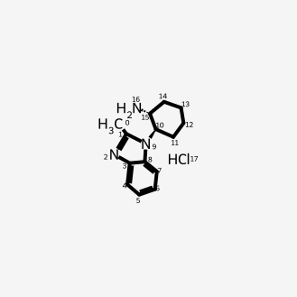 Cc1nc2ccccc2n1[C@@H]1CCCC[C@H]1N.Cl